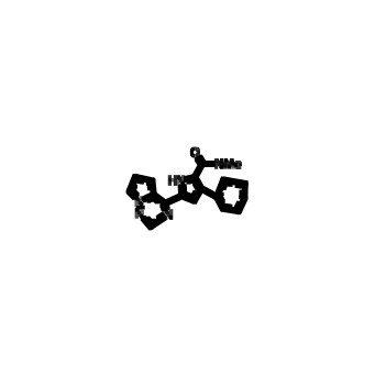 CNC(=O)c1[nH]c(-c2ncnn3cccc23)cc1-c1ccccc1